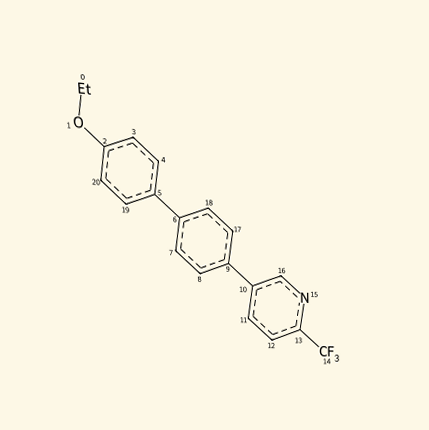 CCOc1ccc(-c2ccc(-c3ccc(C(F)(F)F)nc3)cc2)cc1